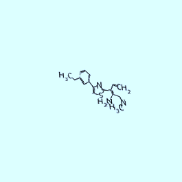 C=C/C(=C(N)\C=N/C)c1nc(-c2cccc(CC)c2)cs1